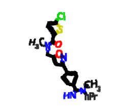 CCCN(C)C(=N)c1ccc(-c2cc(CN(C)C(=O)c3ccc(Cl)s3)on2)cc1